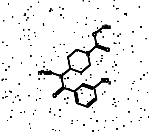 CCCCCN(C(=O)c1cccc([N+](=O)[O-])c1)C1CCN(C(=O)OCCCC)CC1